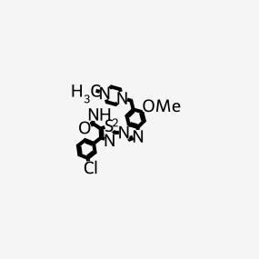 COc1cc2ncn(-c3nc(-c4cccc(Cl)c4)c(C(N)=O)s3)c2cc1CN1CCN(C)CC1